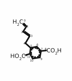 C=CC=CCc1cc(C(=O)O)ccc1C(=O)O